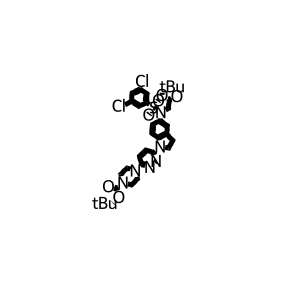 CC(C)(C)OC(=O)CN(c1ccc2c(c1)CCN2c1ccc(N2CCN(C(=O)OC(C)(C)C)CC2)nn1)S(=O)(=O)c1cc(Cl)cc(Cl)c1